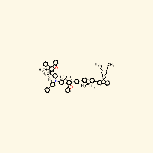 CCCCCCCC1(CCCCCCC)c2ccccc2-c2ccc(-c3ccc4c(c3)C(C)(C)c3cc(-c5ccc(-c6cc7c(c8c6oc6ccccc68)-c6ccc(N(c8ccc(-c9ccccc9)cc8)c8ccc9c(c8)C(C)(C)c8c%10c(c%11c(oc%12ccccc%12%11)c8-9)-c8ccccc8C%10(C)C)cc6C7(C)C)cc5)ccc3-4)cc21